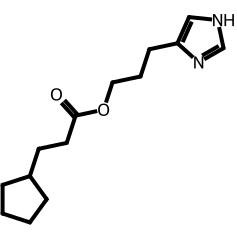 O=C(CCC1CCCC1)OCCCc1c[nH]cn1